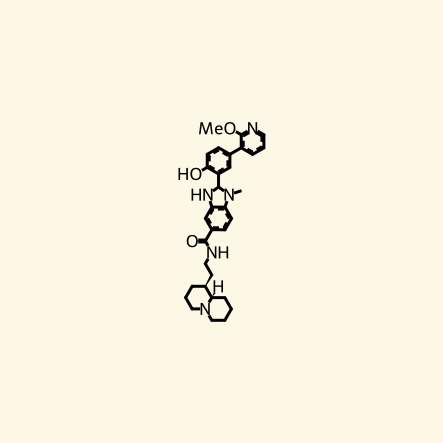 COc1ncccc1-c1ccc(O)c(C2Nc3cc(C(=O)NCC[C@@H]4CCCN5CCCC[C@H]45)ccc3N2C)c1